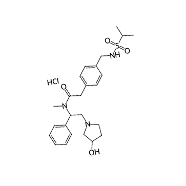 CC(C)S(=O)(=O)NCc1ccc(CC(=O)N(C)C(CN2CCC(O)C2)c2ccccc2)cc1.Cl